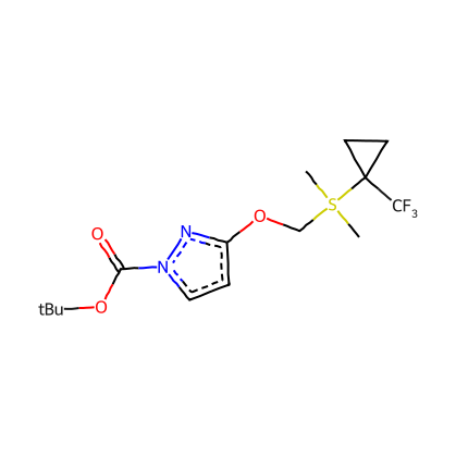 CC(C)(C)OC(=O)n1ccc(OCS(C)(C)C2(C(F)(F)F)CC2)n1